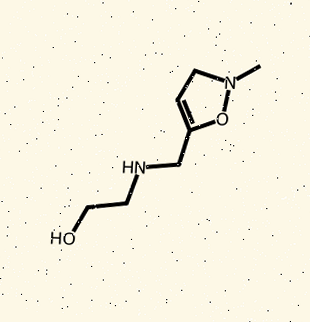 CN1CC=C(CNCCO)O1